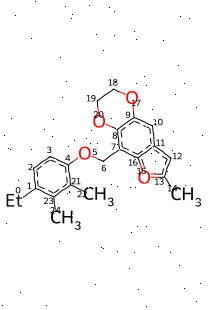 CCc1ccc(OCc2c3c(cc4cc(C)oc24)OCCO3)c(C)c1C